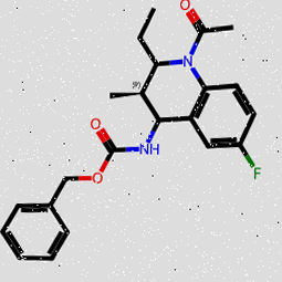 CCC1[C@H](C)C(NC(=O)OCc2ccccc2)c2cc(F)ccc2N1C(C)=O